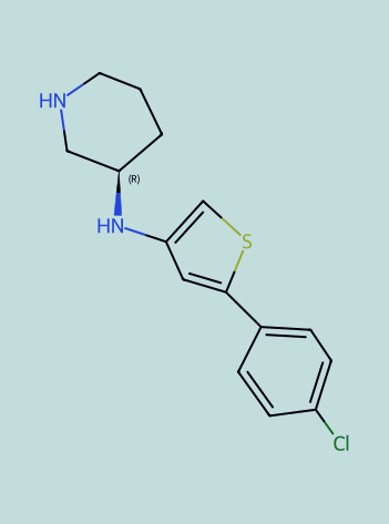 Clc1ccc(-c2cc(N[C@@H]3CCCNC3)cs2)cc1